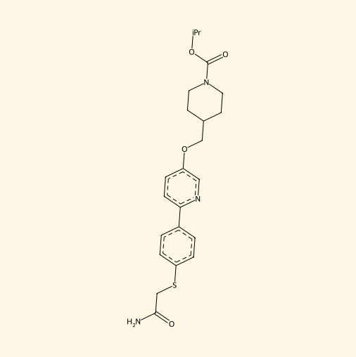 CC(C)OC(=O)N1CCC(COc2ccc(-c3ccc(SCC(N)=O)cc3)nc2)CC1